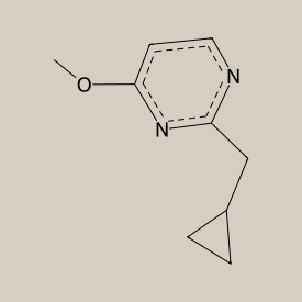 COc1ccnc(CC2CC2)n1